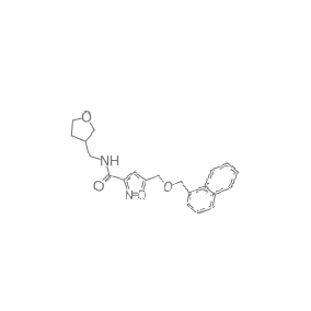 O=C(NCC1CCOC1)c1cc(COCc2cccc3ccccc23)on1